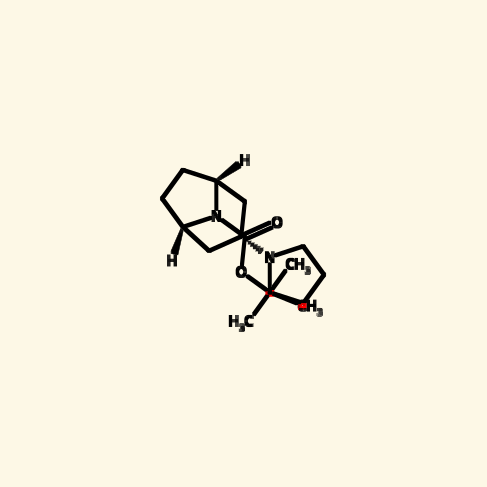 CC(C)(C)OC(=O)N1[C@@H]2CC[C@H]1C[C@@H](N1CCCC1)C2